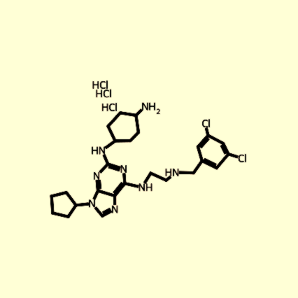 Cl.Cl.Cl.NC1CCC(Nc2nc(NCCNCc3cc(Cl)cc(Cl)c3)c3ncn(C4CCCC4)c3n2)CC1